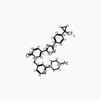 CC(=O)N1CCN(c2cc(Cn3cc(-c4nc(-c5ccc(C6(C(F)(F)F)CC6)cc5)no4)ccc3=O)ccn2)CC1